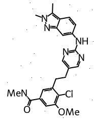 CNC(=O)c1cc(CCc2cnc(Nc3ccc4c(C)n(C)nc4c3)nc2)c(Cl)c(OC)c1